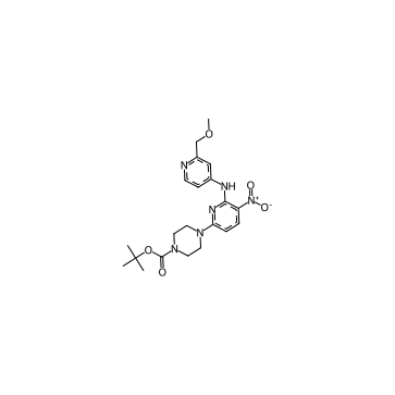 COCc1cc(Nc2nc(N3CCN(C(=O)OC(C)(C)C)CC3)ccc2[N+](=O)[O-])ccn1